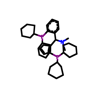 CN(C)C(C1=C(P(C2CCCCC2)C2CCCCC2)C=CC1)c1ccccc1P(C1CCCCC1)C1CCCCC1